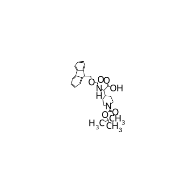 CC(C)(C)OC(=O)N1CCC(C(NC(=O)OCC2c3ccccc3-c3ccccc32)C(=O)O)CC1